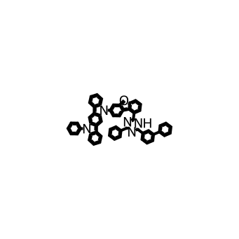 c1ccc(C2=NC(c3cccc(-c4ccccc4)c3)NC(c3cccc4oc5cc(-n6c7ccccc7c7cc8c(cc76)c6ccccc6n8-c6ccccc6)ccc5c34)=N2)cc1